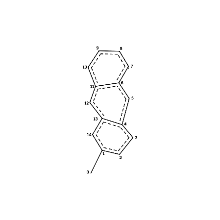 Cc1ccc2cc3[c]cccc3cc2c1